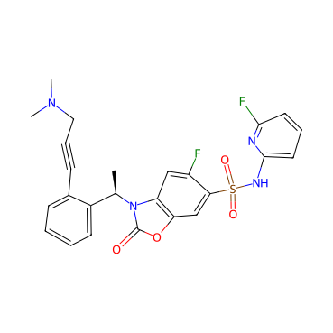 C[C@H](c1ccccc1C#CCN(C)C)n1c(=O)oc2cc(S(=O)(=O)Nc3cccc(F)n3)c(F)cc21